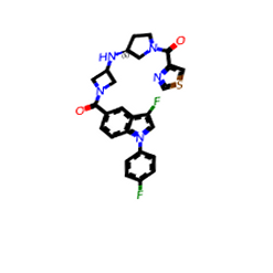 O=C(c1ccc2c(c1)c(F)cn2-c1ccc(F)cc1)N1CC(N[C@H]2CCN(C(=O)c3cscn3)C2)C1